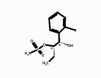 CC[C@H](OS(N)(=O)=O)[C@@H](O)c1ccccc1I